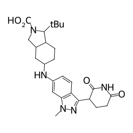 Cn1nc(C2CCC(=O)NC2=O)c2ccc(NC3CCC4C(C3)CN(C(=O)O)C4C(C)(C)C)cc21